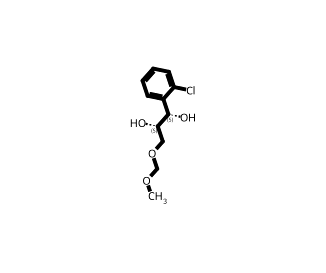 COCOC[C@H](O)[C@@H](O)c1ccccc1Cl